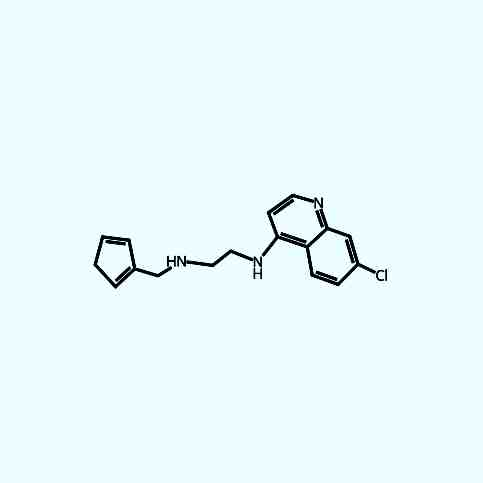 Clc1ccc2c(NCCNCC3=CCC=C3)ccnc2c1